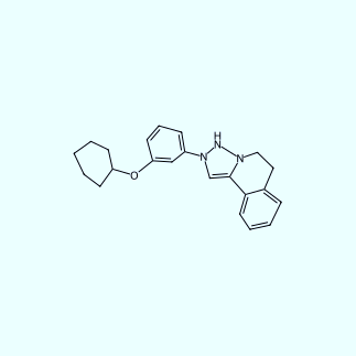 C1=C2c3ccccc3CCN2NN1c1cccc(OC2CCCCC2)c1